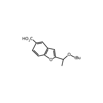 CC(OC(C)(C)C)c1cc2cc(C(=O)O)ccc2o1